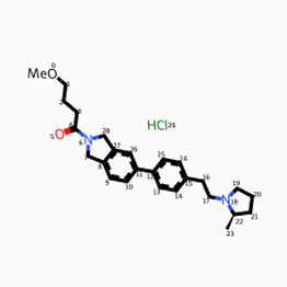 COCCCC(=O)N1Cc2ccc(-c3ccc(CCN4CCC[C@H]4C)cc3)cc2C1.Cl